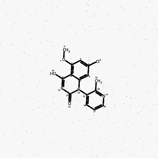 COc1cc(Cl)cc2c1c(O)nc(=O)n2-c1cccnc1C